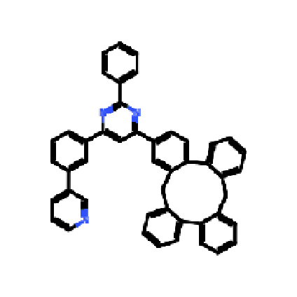 c1ccc(-c2nc(-c3cccc(-c4cccnc4)c3)cc(-c3ccc4c(c3)Cc3ccccc3-c3ccccc3Cc3ccccc3-4)n2)cc1